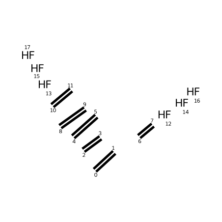 C=C.C=C.C=C.C=C.C=C.C=C.F.F.F.F.F.F